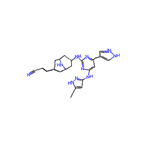 Cc1cc(Nc2cc(-c3cn[nH]c3)nc(NC3CC4CC(CCC#N)CC(C3)N4)n2)n[nH]1